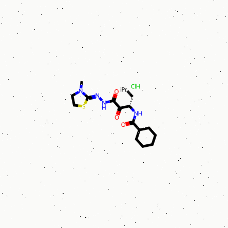 CC(C)C[C@H](NC(=O)C1CCCCC1)C(=O)C(=O)NN=C1SCCN1C.Cl